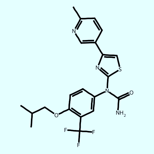 Cc1ccc(-c2csc(N(C(N)=O)c3ccc(OCC(C)C)c(C(F)(F)F)c3)n2)cn1